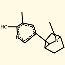 Cc1cc(C2C3CCC(CC3)N2C)cnc1O